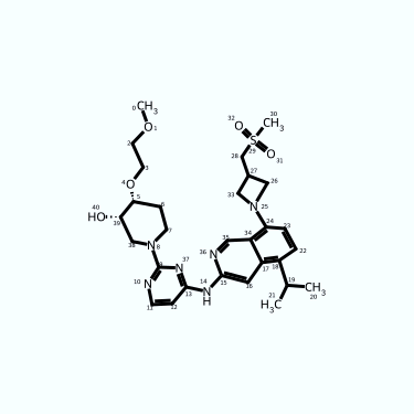 COCCO[C@@H]1CCN(c2nccc(Nc3cc4c(C(C)C)ccc(N5CC(CS(C)(=O)=O)C5)c4cn3)n2)C[C@@H]1O